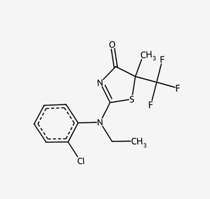 CCN(C1=NC(=O)C(C)(C(F)(F)F)S1)c1ccccc1Cl